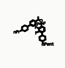 CCCCCC1CCC(c2ccc(C(F)(F)OC(C)c3ccc(C4CCC(CCC)CC4)cc3)c(F)c2F)CC1